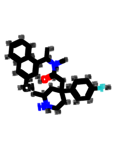 CC1CC(CC(=O)N(C)C(C)c2cc(C#N)cc3ccccc23)(c2ccc(F)cc2)CCN1